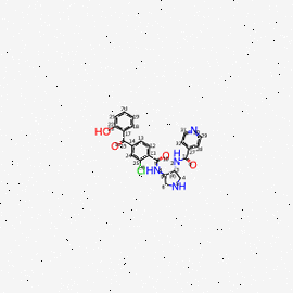 O=C(N[C@@H]1CNC[C@H]1NC(=O)c1ccc(C(=O)c2ccccc2O)cc1Cl)c1ccncc1